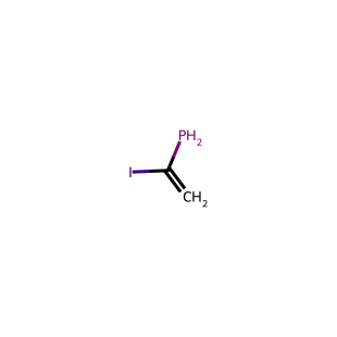 C=C(P)I